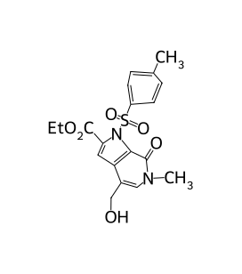 CCOC(=O)c1cc2c(CO)cn(C)c(=O)c2n1S(=O)(=O)c1ccc(C)cc1